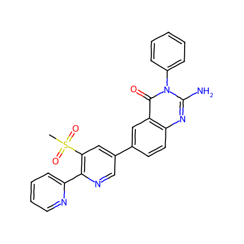 CS(=O)(=O)c1cc(-c2ccc3nc(N)n(-c4ccccc4)c(=O)c3c2)cnc1-c1ccccn1